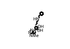 CNc1ncnc2c1ccn2[C@@H]1C[C@H](CCCCNCCc2ccccc2)[C@@H](O)[C@H]1O